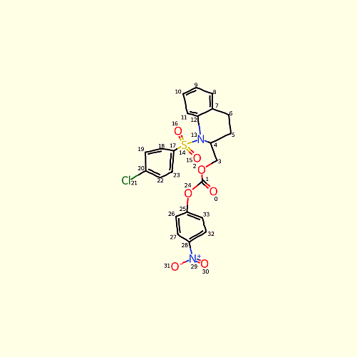 O=C(OCC1CCc2ccccc2N1S(=O)(=O)c1ccc(Cl)cc1)Oc1ccc([N+](=O)[O-])cc1